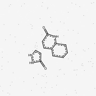 O=c1cc[nH][nH]1.O=c1ccc2ccccc2[nH]1